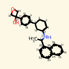 CC(NC1CCCC(c2ccc(C3(O)COC3)cc2)C1)c1cccc2ccccc12